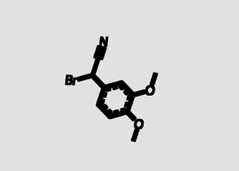 COc1ccc(C(Br)C#N)cc1OC